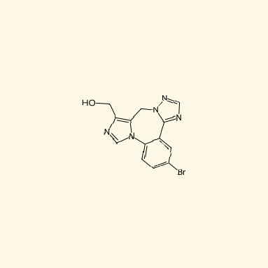 OCc1ncn2c1Cn1ncnc1-c1cc(Br)ccc1-2